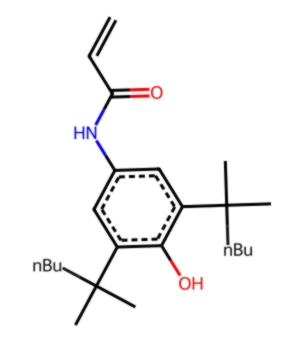 C=CC(=O)Nc1cc(C(C)(C)CCCC)c(O)c(C(C)(C)CCCC)c1